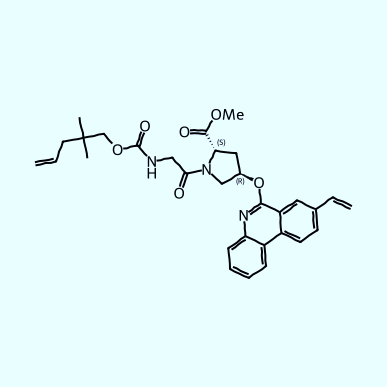 C=CCC(C)(C)COC(=O)NCC(=O)N1C[C@H](Oc2nc3ccccc3c3ccc(C=C)cc23)C[C@H]1C(=O)OC